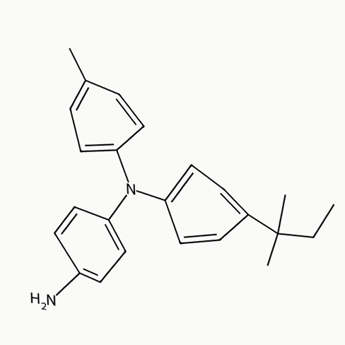 CCC(C)(C)c1ccc(N(c2ccc(C)cc2)c2ccc(N)cc2)cc1